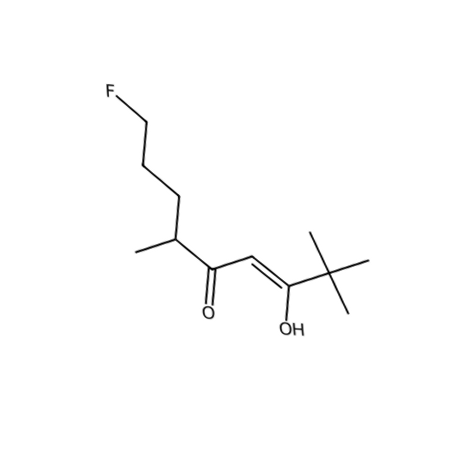 CC(CCCF)C(=O)/C=C(\O)C(C)(C)C